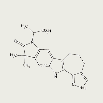 CC(C(=O)O)N1C(=O)C(C)(C)c2cc3[nH]c4c(c3cc21)CCCc1c[nH]nc1-4